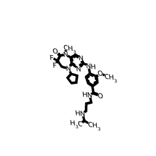 COc1cc(C(=O)NCCCNC(C)C)ccc1Nc1ncc2c(n1)N(C1CCCC1)CC(F)(F)C(=O)N2C